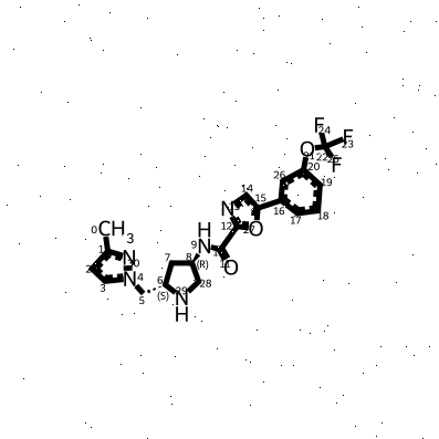 Cc1ccn(C[C@@H]2C[C@@H](NC(=O)c3ncc(-c4cccc(OC(F)(F)F)c4)o3)CN2)n1